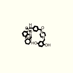 Cc1cccc(S(=O)(=O)Nc2ccc(C(=O)N3CCN(Cc4cc(O)ccc4O)CC3)cc2)c1/N=C\C1CCCCC1